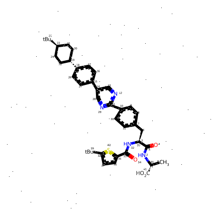 C[C@@H](NC(=O)[C@H](Cc1ccc(-c2ncc(-c3ccc([C@H]4CC[C@H](C(C)(C)C)CC4)cc3)cn2)cc1)NC(=O)c1ccc(C(C)(C)C)s1)C(=O)O